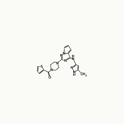 Cc1cc(Nc2nc(N3CCN(C(=O)c4cccs4)CC3)nn3cccc23)n[nH]1